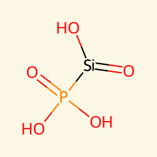 O=[Si](O)P(=O)(O)O